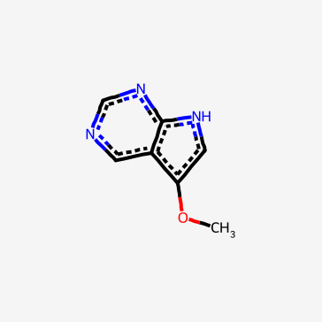 COc1c[nH]c2ncncc12